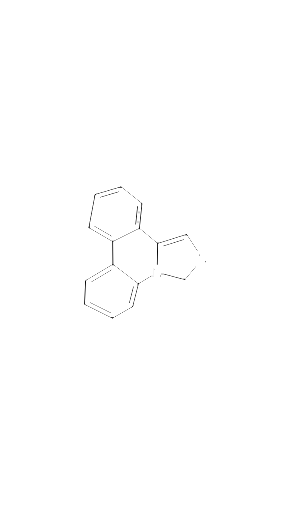 C[C@H]1NC=C2c3ccccc3-c3ccccc3N21